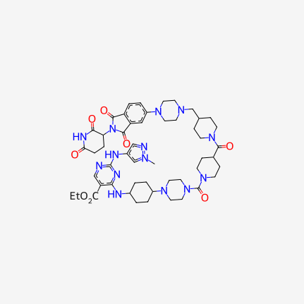 CCOC(=O)c1cnc(Nc2cnn(C)c2)nc1NC1CCC(N2CCN(C(=O)N3CCC(C(=O)N4CCC(CN5CCN(c6ccc7c(c6)C(=O)N(C6CCC(=O)NC6=O)C7=O)CC5)CC4)CC3)CC2)CC1